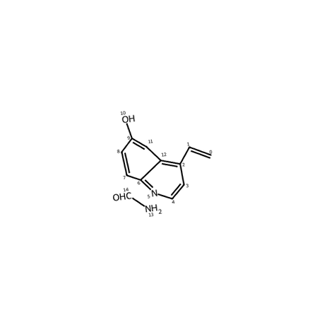 C=Cc1ccnc2ccc(O)cc12.NC=O